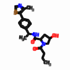 CCCC(=O)N1CC(O)CC1C(=O)N[C@@H](C)c1ccc(-c2scnc2C)cc1